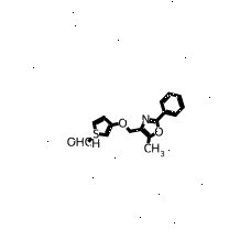 Cc1oc(-c2ccccc2)nc1COC1=C[SH](C=O)C=C1